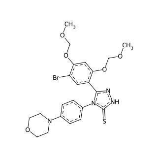 COCOc1cc(OCOC)c(-c2n[nH]c(=S)n2-c2ccc(N3CCOCC3)cc2)cc1Br